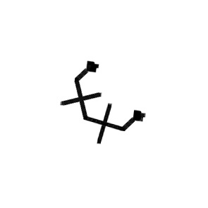 CC(C)(CBr)CC(C)(C)CBr